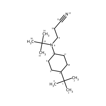 CC(C)(C)C1CCC(N(CCC#N)C(C)(C)C)CC1